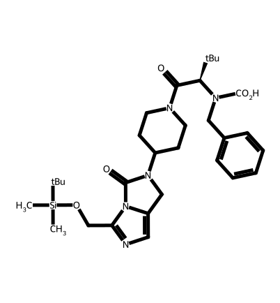 CC(C)(C)[C@H](C(=O)N1CCC(N2Cc3cnc(CO[Si](C)(C)C(C)(C)C)n3C2=O)CC1)N(Cc1ccccc1)C(=O)O